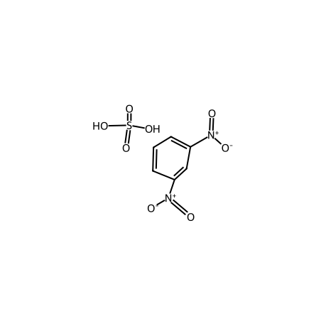 O=S(=O)(O)O.O=[N+]([O-])c1cccc([N+](=O)[O-])c1